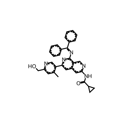 Cc1cc(CO)ncc1-c1cc2cc(NC(=O)C3CC3)ncc2c(N=C(c2ccccc2)c2ccccc2)n1